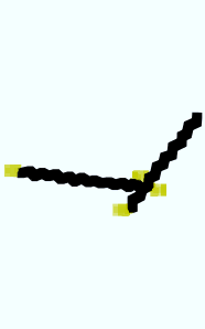 CCCCCCCCCCCCCC(S)C(CCCS)C(S)CCCCCCCCCCCCCCCCCS